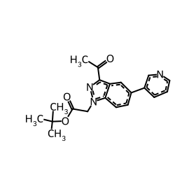 CC(=O)c1nn(CC(=O)OC(C)(C)C)c2ccc(-c3cccnc3)cc12